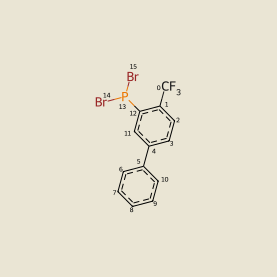 FC(F)(F)c1ccc(-c2ccccc2)cc1P(Br)Br